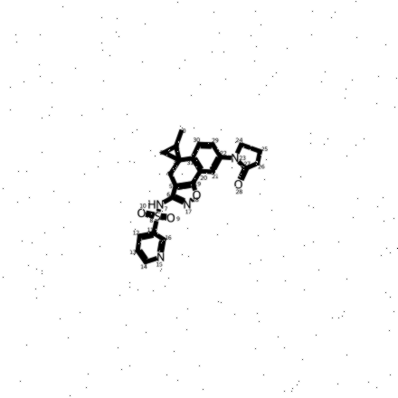 CC1CC12Cc1c(NS(=O)(=O)c3cccnc3)noc1-c1cc(N3CCCC3=O)ccc12